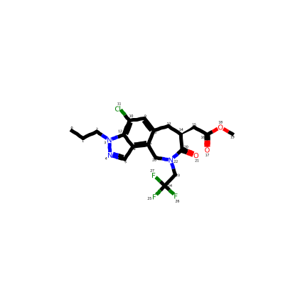 CCCn1ncc2c3c(cc(Cl)c21)C[C@@H](CC(=O)OC)C(=O)N(CC(F)(F)F)C3